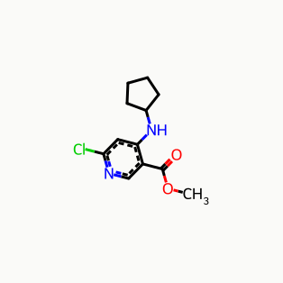 COC(=O)c1cnc(Cl)cc1NC1CCCC1